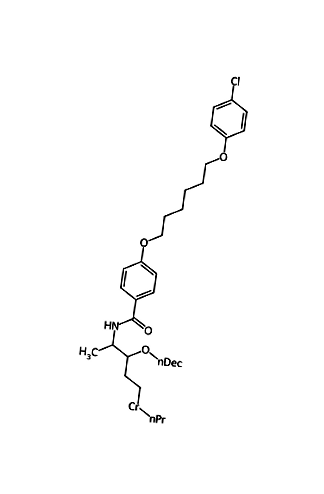 CCCCCCCCCCOC(C[CH2][Cr][CH2]CC)C(C)NC(=O)c1ccc(OCCCCCCOc2ccc(Cl)cc2)cc1